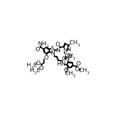 CCn1nc(C)cc1C(=O)/N=c1\sc2cc(C(N)=O)cc(OCCC(OC)OC)c2n1C/C=C/CNc1c(OC)cc(C(=O)OC)cc1[N+](=O)[O-]